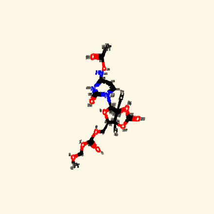 CC(C)OCOC(=O)OC[C@H]1O[C@@H](n2ccc(NOC(=O)C(C)C)nc2=O)[C@@H]2OC(=O)O[C@@H]21